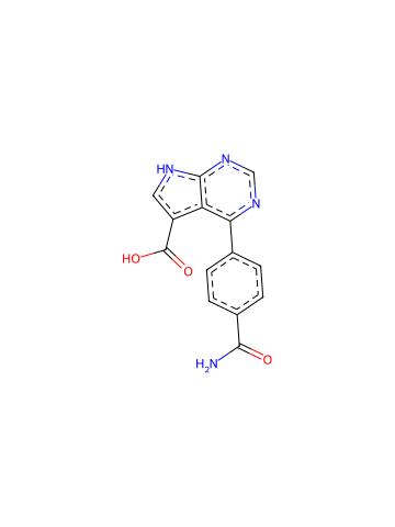 NC(=O)c1ccc(-c2ncnc3[nH]cc(C(=O)O)c23)cc1